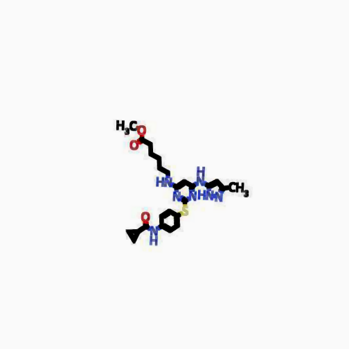 COC(=O)CCCCCNc1cc(Nc2cc(C)n[nH]2)nc(Sc2ccc(NC(=O)C3CC3)cc2)n1